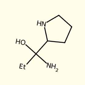 CCC(N)(O)C1CCCN1